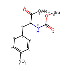 COC(=O)C(CC1C=CC([N+](=O)[O-])=CC1)NC(=O)OC(C)(C)C